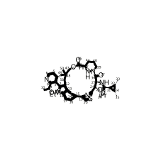 CCn1c(-c2cccnc2[C@H](C)OC)c2c3cc(ccc31)-c1csc(n1)[C@@H](OC(C)C)[C@H](NC(=O)[C@H]1[C@H](C)[C@@H]1C)C(=O)N1CCC[C@H](N1)C(=O)OCC(C)(C)C2